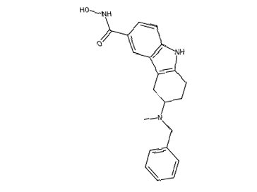 CN(Cc1ccccc1)C1CCc2[nH]c3ccc(C(=O)NO)cc3c2C1